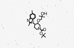 Cc1ccc2c(c1)nc(C)n2C1CCN(C(=O)OC(C)(C)C)CC1OCC(C)(C)O